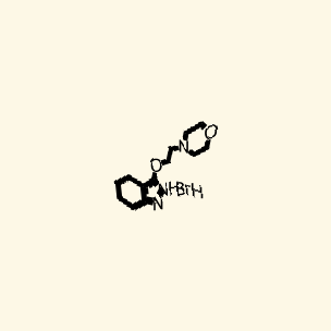 Br.C1CCc2c(n[nH]c2OCCN2CCOCC2)C1